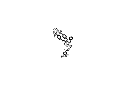 CC(=O)N1CCN(c2ccc(CN(C(=O)C=Cc3ccc(C(F)(F)F)cc3)C(Cc3ccccc3)C(=O)N(C)CCO[C@@H](C)c3ccc4[nH]nnc4c3)cc2)CC1